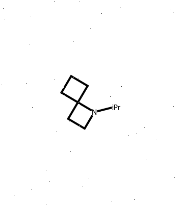 CC(C)N1CCC12CCC2